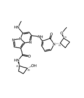 CNc1cc(Nc2cccn([C@H]3CC[C@@H]3OC)c2=O)nc2c(C(=O)N[C@@H]3CC[C@H]3O)cnn12